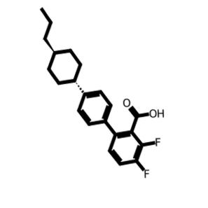 CCC[C@H]1CC[C@H](c2ccc(-c3ccc(F)c(F)c3C(=O)O)cc2)CC1